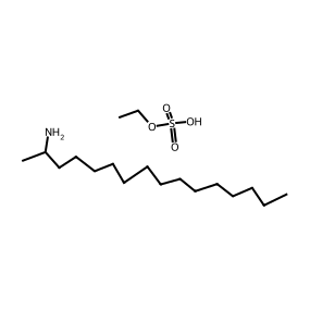 CCCCCCCCCCCCCCC(C)N.CCOS(=O)(=O)O